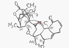 C[C@@H]1C(=O)OC2C[C@@]1(C)C1C(=O)[C@@]3(O)O[C@@]14[C@@](O)(CCC1C3[C@H](O)C=C3CC=CC(=O)[C@@]31C)C(=O)O[C@@]24C